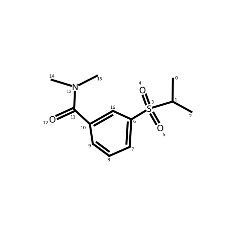 CC(C)S(=O)(=O)c1cccc(C(=O)N(C)C)c1